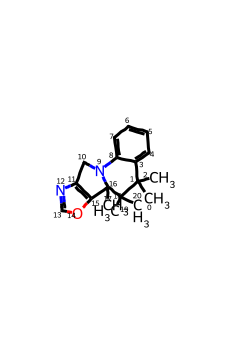 CC1(C)c2ccccc2N2Cc3ncoc3C2(C)C1(C)C